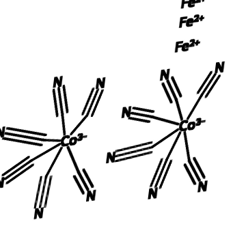 N#[C][Co-3]([C]#N)([C]#N)([C]#N)([C]#N)[C]#N.N#[C][Co-3]([C]#N)([C]#N)([C]#N)([C]#N)[C]#N.[Fe+2].[Fe+2].[Fe+2]